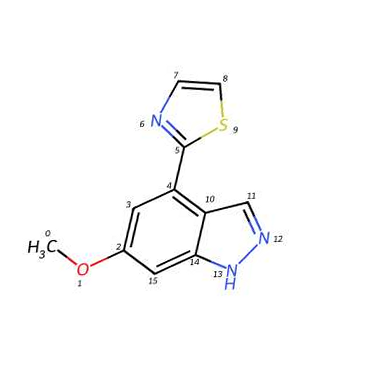 COc1cc(-c2nccs2)c2cn[nH]c2c1